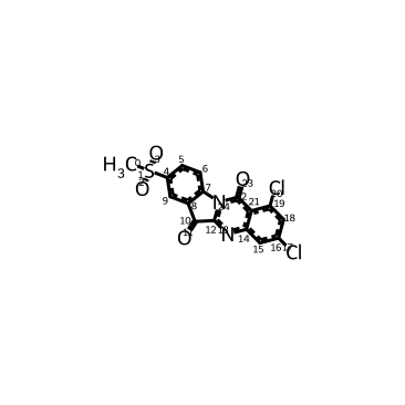 CS(=O)(=O)c1ccc2c(c1)C(=O)c1nc3cc(Cl)cc(Cl)c3c(=O)n1-2